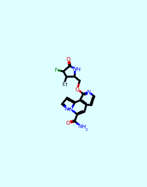 CCC1C(COc2nccc3cc(C(N)=O)n4nccc4c23)NC(=O)C1F